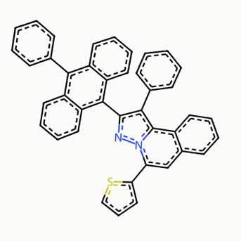 c1ccc(-c2c3ccccc3c(-c3nn4c(-c5cccs5)cc5ccccc5c4c3-c3ccccc3)c3ccccc23)cc1